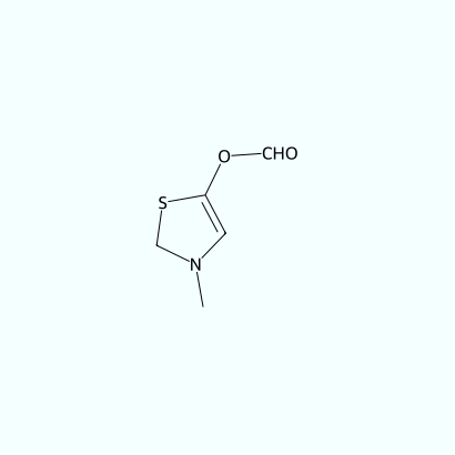 CN1C=C(OC=O)SC1